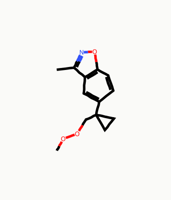 COOCC1(c2ccc3onc(C)c3c2)CC1